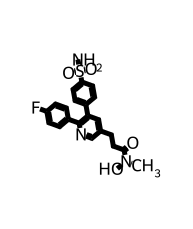 CN(O)C(=O)CCc1cnc(-c2ccc(F)cc2)c(-c2ccc(S(N)(=O)=O)cc2)c1